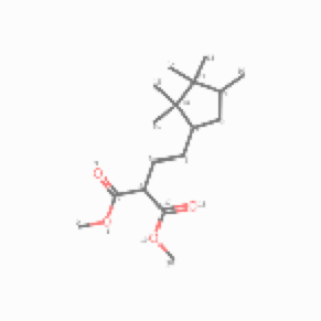 COC(=O)C(CCC1CC(C)C(C)(C)C1(C)C)C(=O)OC